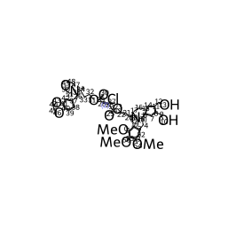 COc1cc(C[C@@H]2c3cc(CO)c(CO)cc3CC[N@@+]2(C)CCCOC(=O)/C(Cl)=C/C(=O)OCCC[N+]2(Cc3ccc4c(c3)OCCO4)CCOCC2)cc(OC)c1OC